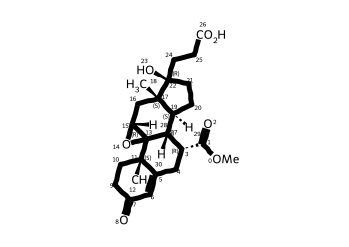 COC(=O)[C@@H]1CC2=CC(=O)CC[C@]2(C)C23O[C@@H]2C[C@@]2(C)[C@@H](CC[C@@]2(O)CCC(=O)O)[C@H]13